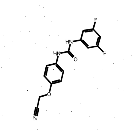 N#CCOc1ccc(NC(=O)Nc2cc(F)cc(F)c2)cc1